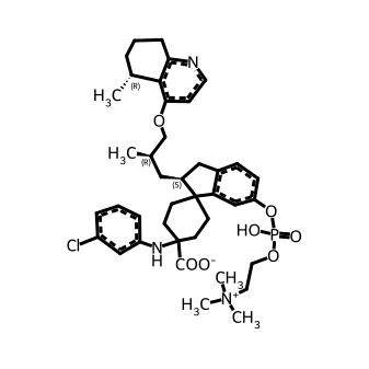 C[C@@H](COc1ccnc2c1[C@H](C)CCC2)C[C@H]1Cc2ccc(OP(=O)(O)OCC[N+](C)(C)C)cc2C12CCC(Nc1cccc(Cl)c1)(C(=O)[O-])CC2